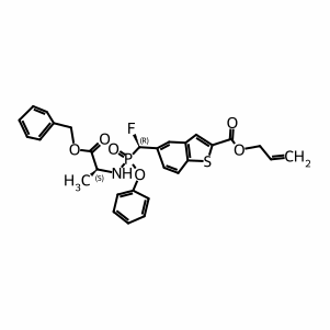 C=CCOC(=O)c1cc2cc([C@H](F)P(=O)(N[C@@H](C)C(=O)OCc3ccccc3)Oc3ccccc3)ccc2s1